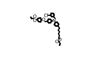 C=CC(=O)OCCCCCCc1ccc(N(Cc2cccc(Cl)c2)c2ccc(COc3ccc(OC(=O)C=C)cc3)cc2)cc1